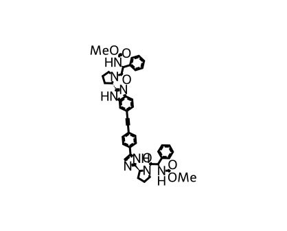 COC(=O)N[C@@H](C(=O)N1CCC[C@H]1c1ncc(-c2ccc(C#Cc3ccc4nc([C@@H]5CCCN5C(=O)[C@H](NC(=O)OC)c5ccccc5)[nH]c4c3)cc2)[nH]1)c1ccccc1